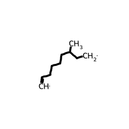 [CH]=CCCCCC(C)C[CH2]